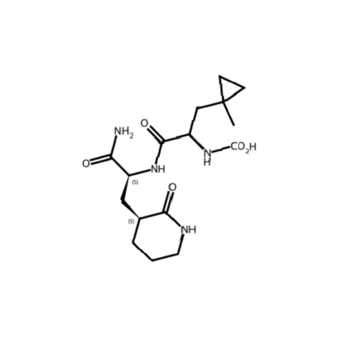 CC1(CC(NC(=O)O)C(=O)N[C@@H](C[C@@H]2CCCNC2=O)C(N)=O)CC1